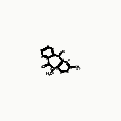 CCN1c2ccccc2C(=O)N(C)c2ccc(C)nc21